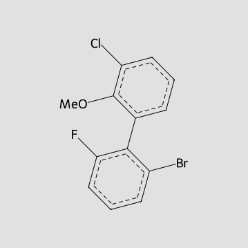 COc1c(Cl)cccc1-c1c(F)cccc1Br